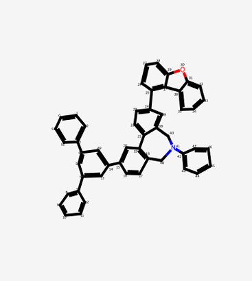 c1ccc(-c2cc(-c3ccccc3)cc(-c3ccc4c(c3)-c3ccc(-c5cccc6oc7ccccc7c56)cc3CN(c3ccccc3)C4)c2)cc1